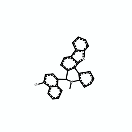 CN1c2ccccc2-c2c(ccc3c2sc2ccccc23)C1c1ccc(Br)c2ccccc12